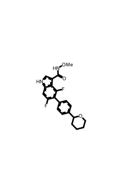 CONC(=O)c1c[nH]c2cc(F)c(-c3ccc(C4CCCCO4)cc3)c(F)c12